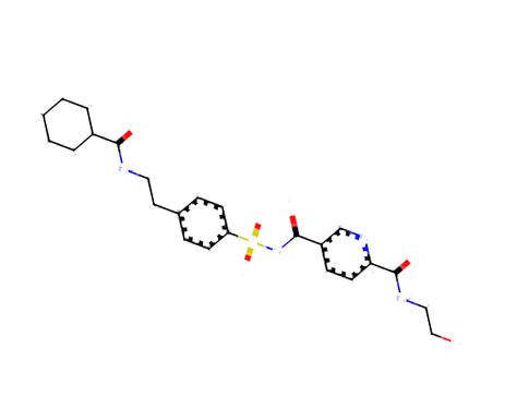 O=C(NS(=O)(=O)c1ccc(CCNC(=O)C2CCCCC2)cc1)c1ccc(C(=O)NCCO)nc1